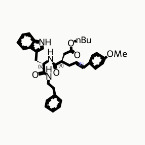 CCCCOC(=O)C[C@@H](C/C=C/c1ccc(OC)cc1)C(=O)N[C@@H](Cc1c[nH]c2ccccc12)C(=O)NCCc1ccccc1